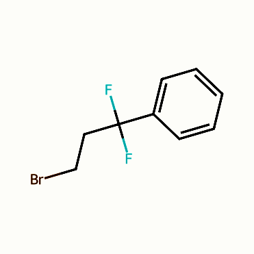 FC(F)(CCBr)c1ccccc1